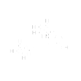 Cc1cccc2c1CC1(CCC(CCC(=O)OC(C)(C)C)CC1)[C@H]2N[S@+]([O-])C(C)(C)C